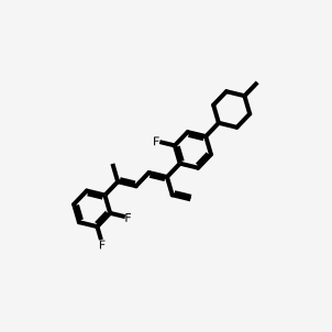 C=C/C(=C\C=C(/C)c1cccc(F)c1F)c1ccc(C2CCC(C)CC2)cc1F